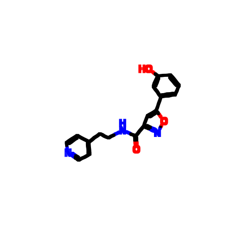 O=C(NCCc1ccncc1)c1cc(-c2cccc(O)c2)on1